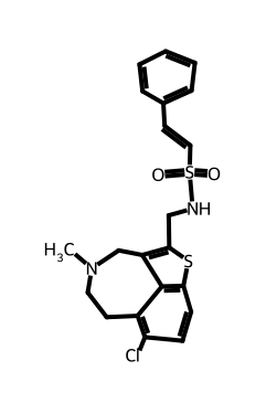 CN1CCc2c(Cl)ccc3sc(CNS(=O)(=O)C=Cc4ccccc4)c(c23)C1